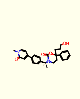 C[C@@H](c1ccc(-c2ccn(C)c(=O)c2)cc1)N1CCC(CCCO)(c2ccccc2)OC1=O